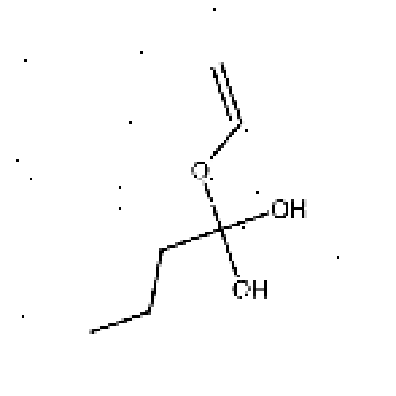 C=COC(O)(O)CCC